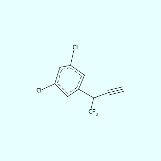 C#C[C](c1cc(Cl)cc(Cl)c1)C(F)(F)F